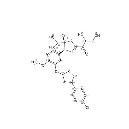 COc1ccc([C@@H]2CN(C(=O)C(O)CO)C[C@@]2(C)C(C)O)cc1OC1CCN(c2cnc(Cl)cn2)C1